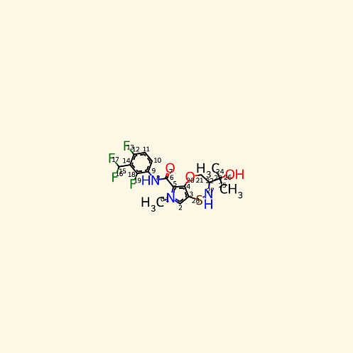 Cn1cc2c(c1C(=O)Nc1ccc(F)c(C(F)F)c1F)OCC(C(C)(C)O)NS2